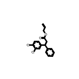 C=CCOC(=O)CC(c1ccccc1)c1ccc(Cl)c(Cl)c1